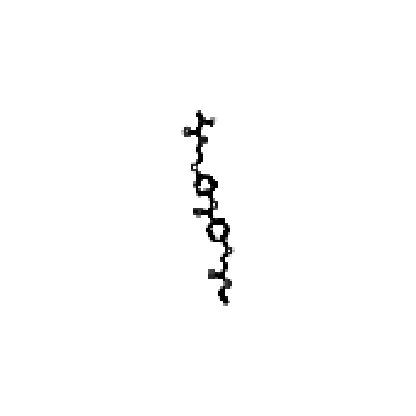 C=COC(=O)CCOc1ccc(C(=O)Oc2ccc(OCCOC(=O)C(=C)F)cc2)cc1